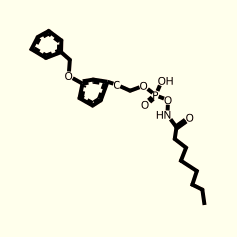 CCCCCCCC(=O)NOP(=O)(O)OCCc1cccc(OCc2ccccc2)c1